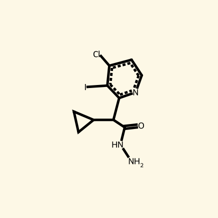 NNC(=O)C(c1nccc(Cl)c1I)C1CC1